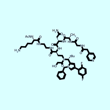 CC(=O)N[C@@H](CCCCN)C(=O)NCCNC(=O)[C@H](CCN(C(=O)CO)[C@@H](c1cc(-c2cc(F)ccc2F)cn1Cc1ccccc1)C(C)(C)C)NC(=O)[C@H](CC(N)=O)NC(=O)[C@H](C)NC(=O)CNC(=O)Cc1ccncc1